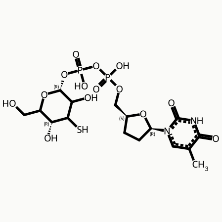 Cc1cn([C@H]2CC[C@@H](COP(=O)(O)OP(=O)(O)O[C@H]3OC(CO)[C@@H](O)C(S)C3O)O2)c(=O)[nH]c1=O